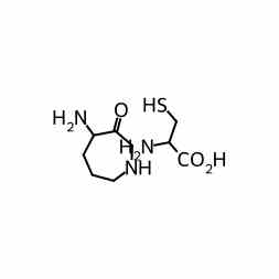 NC(CS)C(=O)O.NC1CCCNCC1=O